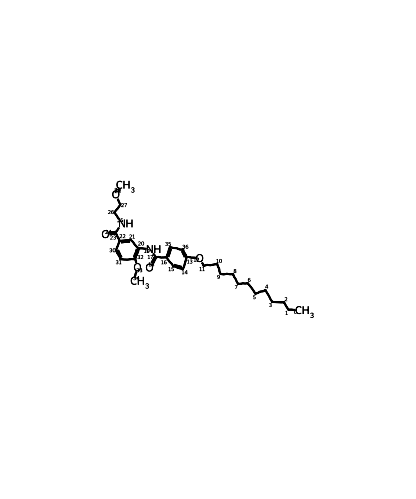 CCCCCCCCCCCCOc1ccc(C(=O)Nc2cc(C(=O)NCCOC)ccc2OC)cc1